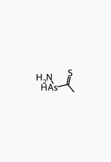 CC(=S)[AsH]N